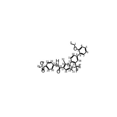 CCOc1ccccc1-c1ccc(-n2c(C)cc(C(=O)Nc3ccc(S(C)(=O)=O)cc3)c2C)c(C(F)(F)F)c1